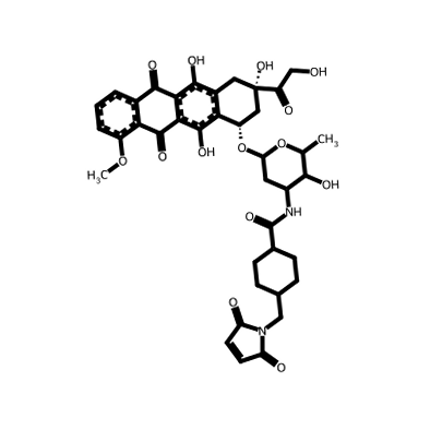 COc1cccc2c1C(=O)c1c(O)c3c(c(O)c1C2=O)C[C@@](O)(C(=O)CO)C[C@@H]3OC1CC(NC(=O)C2CCC(CN3C(=O)C=CC3=O)CC2)C(O)C(C)O1